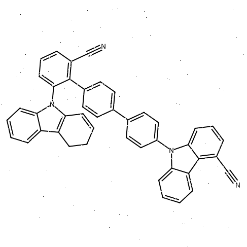 N#Cc1cccc(-n2c3c(c4ccccc42)CCC=C3)c1-c1ccc(-c2ccc(-n3c4ccccc4c4c(C#N)cccc43)cc2)cc1